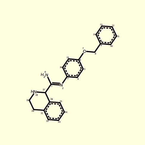 NC(=Nc1ccc(OCc2ccccc2)cc1)C1NCCc2ccccc21